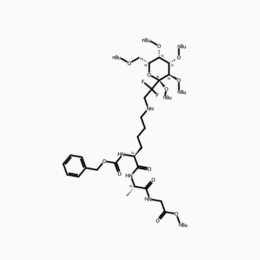 CCCCOC[C@H]1O[C@@](OCCCC)(C(F)(F)CNCCCC[C@H](NC(=O)OCc2ccccc2)C(=O)N[C@@H](C)C(=O)NCC(=O)OCCCC)[C@H](OCCCC)[C@@H](OCCCC)[C@H]1OCCCC